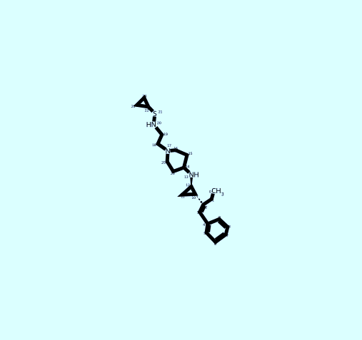 CC/C(=C\c1ccccc1)[C@@H]1C[C@H]1NC1CCN(CCNSC2CC2)CC1